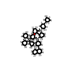 c1ccc(-c2ccc(-n3c4ccccc4c4c(N(c5ccc(-c6cccc7ccccc67)cc5)c5cccc([Si](c6ccccc6)(c6ccccc6)c6ccccc6)c5)cccc43)cc2)cc1